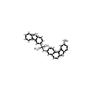 CC(C)(C)c1ccc2sc3ccc4cc(CC(C)(C)c5ccc6sc7ccccc7c6c5)ccc4c3c2c1